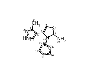 Cc1n[nH]cc1C1=CSC(N)N1c1ccccn1